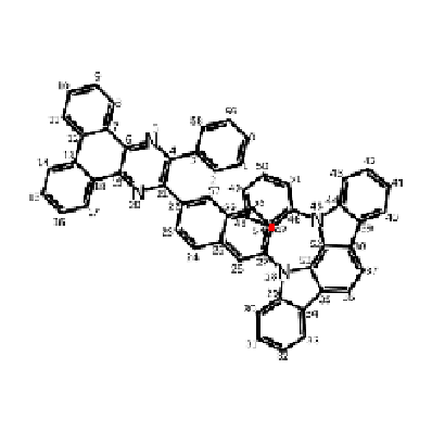 c1ccc(-c2nc3c4ccccc4c4ccccc4c3nc2-c2ccc3cc(-n4c5ccccc5c5ccc6c7ccccc7n(-c7ccccc7)c6c54)ccc3c2)cc1